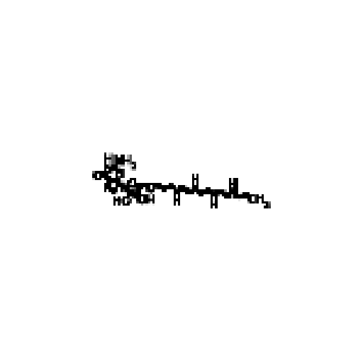 CCCNCCNCCNCCNCCCOC[C@H]1O[C@@H](n2cnc3c(=O)[nH]c(N)nc32)[C@H](O)[C@@H]1O